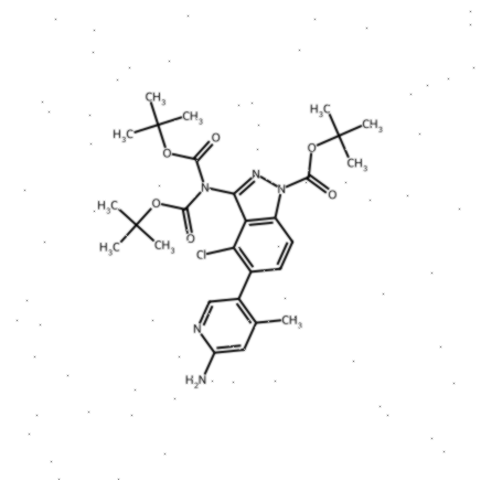 Cc1cc(N)ncc1-c1ccc2c(c(N(C(=O)OC(C)(C)C)C(=O)OC(C)(C)C)nn2C(=O)OC(C)(C)C)c1Cl